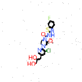 CO[C@@H]1CN(c2ncc(C[C@@H](O)CO)cc2Cl)CCN1C(=O)Nc1nc2ccc(F)cc2s1